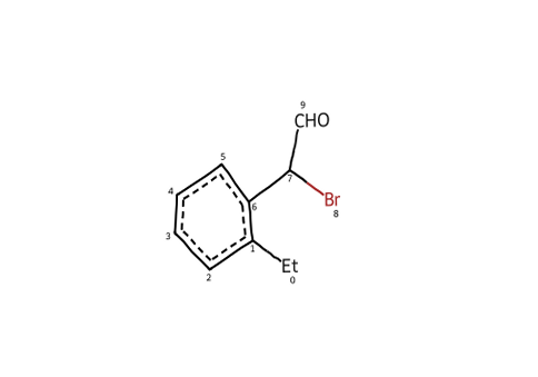 CCc1ccccc1C(Br)C=O